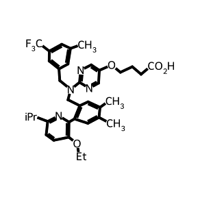 CCOc1ccc(C(C)C)nc1-c1cc(C)c(C)cc1CN(Cc1cc(C)cc(C(F)(F)F)c1)c1ncc(OCCCC(=O)O)cn1